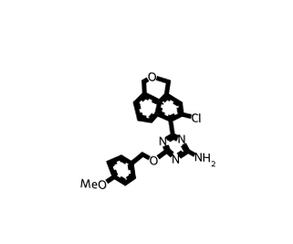 COc1ccc(COc2nc(N)nc(-c3c(Cl)cc4c5c(cccc35)COC4)n2)cc1